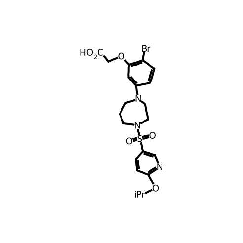 CC(C)Oc1ccc(S(=O)(=O)N2CCCN(c3ccc(Br)c(OCC(=O)O)c3)CC2)cn1